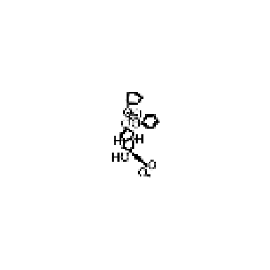 COC(=O)C#C[C@]1(O)C[C@H]2CC(OP(=O)(Oc3ccccc3)Oc3ccccc3)=C[C@H]2C1